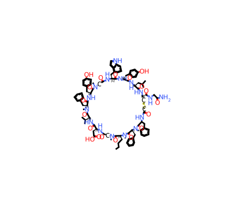 CCCC[C@H]1C(=O)N(C)CC(=O)N[C@@H](CC(=O)O)C(=O)N[C@@H](C(C)C)C(=O)N(C)[C@@H](Cc2ccccc2)C(=O)N[C@@H](Cc2ccc(O)cc2)C(=O)N(C)CC(=O)N[C@@H](Cc2cccc3[nH]ccc23)C(=O)N[C@H](Cc2ccc(O)cc2)C(=O)N[C@@H](CC(C)C)C(=O)N[C@H](C(=O)NCC(N)=O)CSCC(=O)NC(Cc2ccccc2)C(=O)N(C)[C@@H](Cc2ccccc2)C(=O)N1C